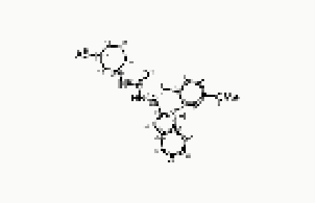 COc1ccc(C[C@@H](NC(=O)N[C@@H]2CCCN(C(C)=O)C2)c2nc3ccccc3[nH]2)cc1